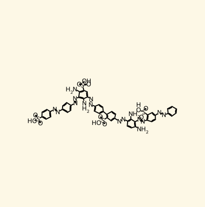 Nc1ccc(N=Nc2ccc(-c3ccc(N=Nc4cc(S(=O)(=O)O)c(N)c(N=Nc5ccc(N=Nc6ccc(S(=O)(=O)O)cc6)cc5)c4N)cc3)c(S(=O)(=O)O)c2)c(N)c1N=Nc1ccc(N=Nc2ccccc2)cc1S(=O)(=O)O